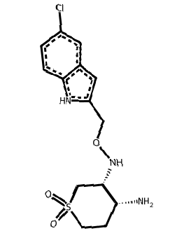 N[C@@H]1CCS(=O)(=O)C[C@@H]1NOCc1cc2cc(Cl)ccc2[nH]1